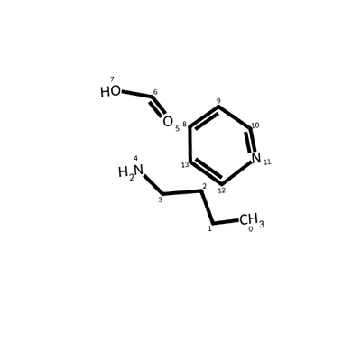 CCCCN.O=CO.c1ccncc1